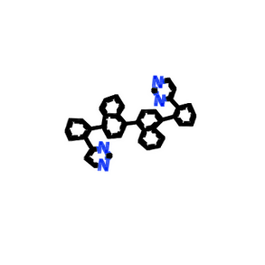 c1ccc(-c2ccc(-c3ccc(-c4ccccc4-c4ccncn4)c4ccccc34)c3ccccc23)c(-c2ccncn2)c1